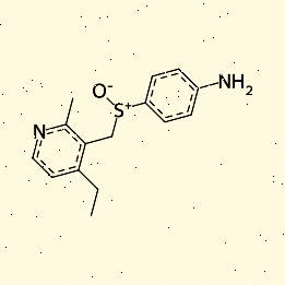 CCc1ccnc(C)c1C[S+]([O-])c1ccc(N)cc1